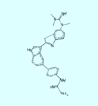 CN(C)C(=N)N(C)c1ccc2c(c1)CC(c1c[nH]c3ccc(-c4ccc(NC(=N)N)cc4)cc13)=N2